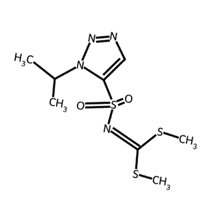 CSC(=NS(=O)(=O)c1cnnn1C(C)C)SC